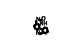 O=c1ncc2ccc3ncc4ccccc4c3c2[nH]1